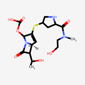 CC(O)C1C(=O)N2C(OC(=O)O)C(SC3CNC(C(=O)N(C)CCO)C3)=C[C@@H]12